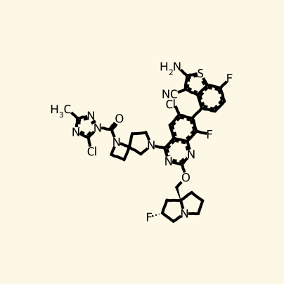 Cc1nc(Cl)n(C(=O)N2CCC23CCN(c2nc(OC[C@@]45CCCN4C[C@H](F)C5)nc4c(F)c(-c5ccc(F)c6sc(N)c(C#N)c56)c(Cl)cc24)C3)n1